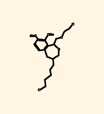 COc1ccc2c(c1OC)C(COCCCl)OCC(CCCCCCl)C2